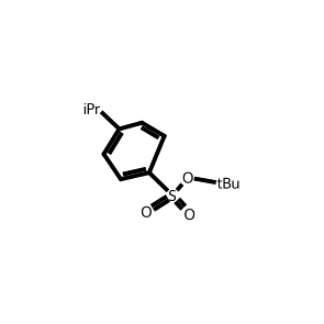 CC(C)c1ccc(S(=O)(=O)OC(C)(C)C)cc1